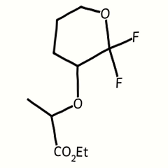 CCOC(=O)C(C)OC1CCCOC1(F)F